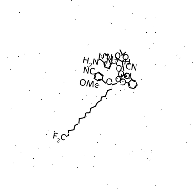 COc1cc(C#N)ccc1CO[C@@H](CCCCCCCCCCCCCCCCCC(F)(F)F)COP(=O)(OC[C@@]1(C#N)O[C@@H](c2ccc3c(N)ncnn23)[C@@H]2OC(C)(C)O[C@@H]21)Oc1ccccc1Cl